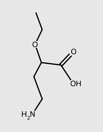 CCOC(CCN)C(=O)O